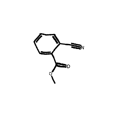 COC(=O)c1cc[c]cc1C#N